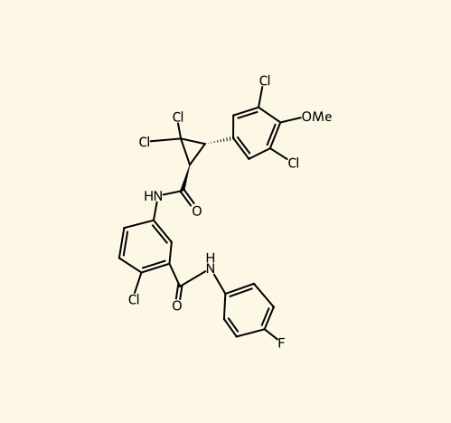 COc1c(Cl)cc([C@@H]2[C@@H](C(=O)Nc3ccc(Cl)c(C(=O)Nc4ccc(F)cc4)c3)C2(Cl)Cl)cc1Cl